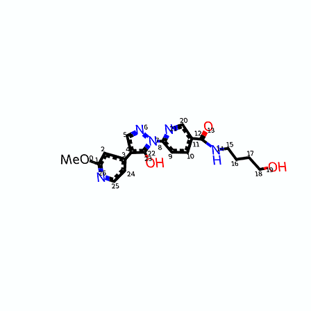 COc1cc(-c2cnn(-c3ccc(C(=O)NCCCCO)cn3)c2O)ccn1